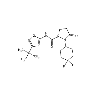 CC(C)(C)c1cc(NC(=O)N2CCC(=O)N2C2CCC(F)(F)CC2)on1